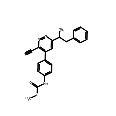 COC(=O)Nc1ccc(-c2cc([C@@H](N)Cc3ccccc3)nnc2C#N)cc1